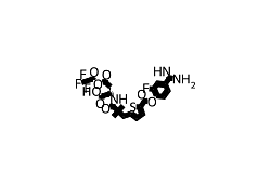 CC(C)(Cc1ccc(C(=O)Oc2ccc(C(=N)N)cc2F)s1)C(=O)N[C@@H](CC(=O)OC(=O)C(F)(F)F)C(=O)O